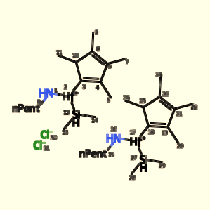 CCCCC[NH][Hf+]([C]1=C(C)C(C)=C(C)C1C)[SiH](C)C.CCCCC[NH][Hf+]([C]1=C(C)C(C)=C(C)C1C)[SiH](C)C.[Cl-].[Cl-]